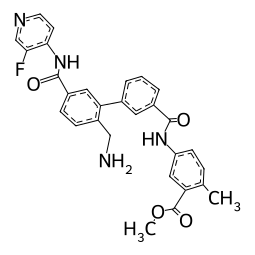 COC(=O)c1cc(NC(=O)c2cccc(-c3cc(C(=O)Nc4ccncc4F)ccc3CN)c2)ccc1C